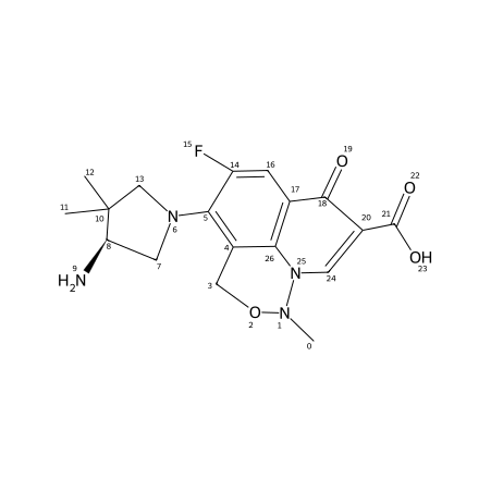 CN1OCc2c(N3C[C@@H](N)C(C)(C)C3)c(F)cc3c(=O)c(C(=O)O)cn1c23